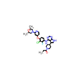 C=CC(=O)N1CCC(c2c[nH]c3ncnc(Nc4ccc(Oc5ccnc(N6C[C@@H](C)O[C@@H](C)C6)c5)c(Cl)c4F)c23)CC1